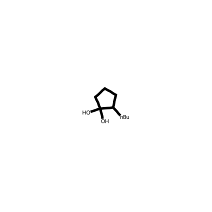 CCCCC1CCCC1(O)O